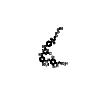 CCc1cc(NCS(=O)(=O)O)c(CC)cc1/N=N/c1cc(Nc2nc(Cl)nc(Nc3ccc(S(=O)(=O)CCOSOOO)cc3)n2)ccc1S(=O)(=O)O